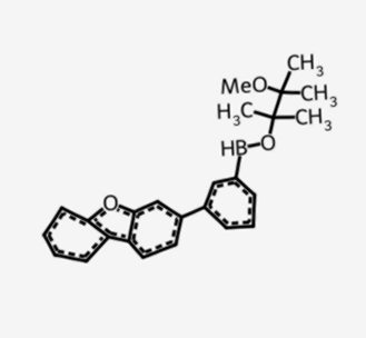 COC(C)(C)C(C)(C)OBc1cccc(-c2ccc3c(c2)oc2ccccc23)c1